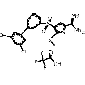 CSc1sc(C(=N)N)cc1S(=O)(=O)c1cccc(-c2cc(Cl)cc(Cl)c2)c1.O=C(O)C(F)(F)F